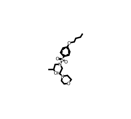 CCCCOc1ccc(S(=O)(=O)N(CCN2CCOCC2)CC(C)O)cc1